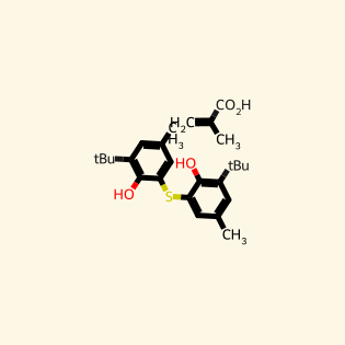 C=C(C)C(=O)O.Cc1cc(Sc2cc(C)cc(C(C)(C)C)c2O)c(O)c(C(C)(C)C)c1